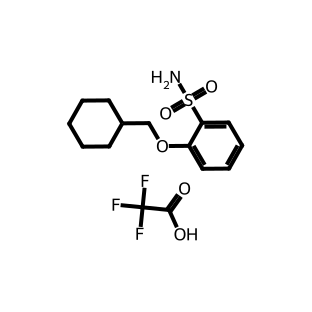 NS(=O)(=O)c1ccccc1OCC1CCCCC1.O=C(O)C(F)(F)F